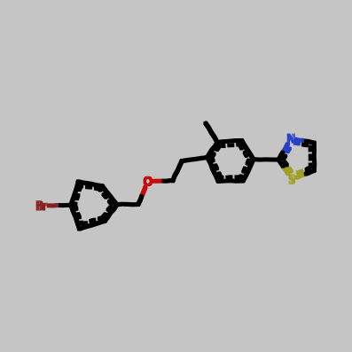 Cc1cc(-c2nccs2)ccc1CCOCc1ccc(Br)cc1